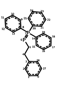 c1ccc(CCP=P(c2ccccc2)(c2ccccc2)c2ccccc2)cc1